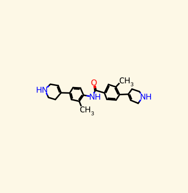 Cc1cc(C2=CCNCC2)ccc1NC(=O)c1ccc(C2=CCNCC2)c(C)c1